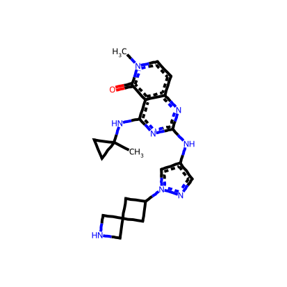 Cn1ccc2nc(Nc3cnn(C4CC5(CNC5)C4)c3)nc(NC3(C)CC3)c2c1=O